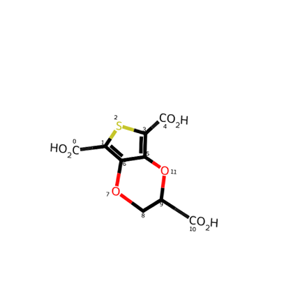 O=C(O)c1sc(C(=O)O)c2c1OCC(C(=O)O)O2